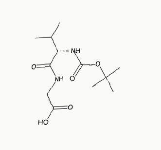 CC(C)[C@H](NC(=O)OC(C)(C)C)C(=O)NCC(=O)O